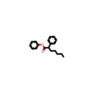 CCCCCC(C(=O)Oc1ccccc1)c1ccccc1